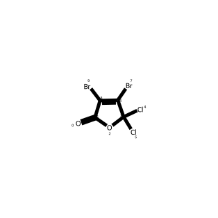 O=C1OC(Cl)(Cl)C(Br)=C1Br